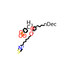 CCCCCCCCCCCCCC[C@@H]1CO[C@@H](COCCCCCCCC[n+]2ccsc2)C1.Cc1ccc(S(=O)(=O)[O-])cc1